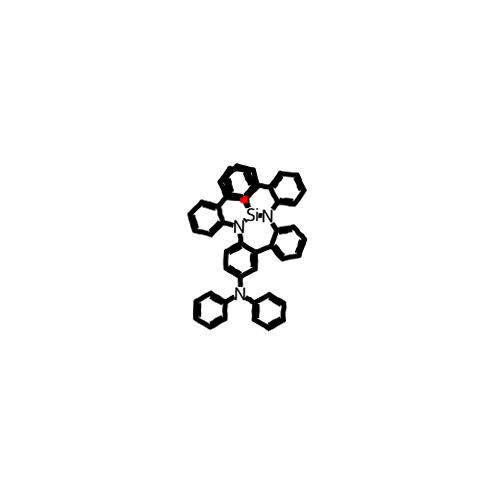 c1ccc(N(c2ccccc2)c2ccc3c(c2)-c2ccccc2N2c4ccccc4-c4ccccc4[Si]24c2ccccc2-c2ccccc2N34)cc1